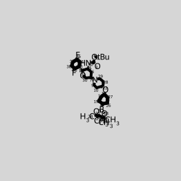 CC(C)(C)OC(=O)N[C@H]1CC(N2CCC(Oc3ccc(B4OC(C)(C)C(C)(C)O4)cc3)CC2)CO[C@@H]1c1cc(F)ccc1F